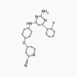 N#Cc1cc(Oc2ccc(Nc3cc(-c4ccccc4F)nc(N)n3)cc2)ccn1